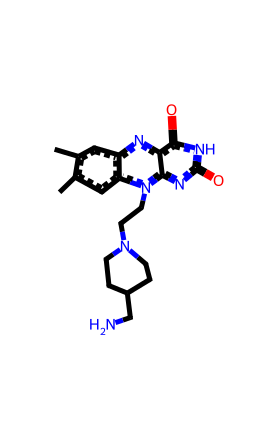 Cc1cc2nc3c(=O)[nH]c(=O)nc-3n(CCN3CCC(CN)CC3)c2cc1C